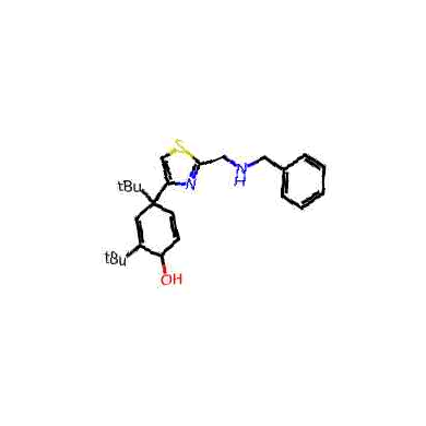 CC(C)(C)C1=CC(c2csc(CNCc3ccccc3)n2)(C(C)(C)C)C=CC1O